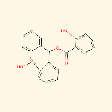 O=C(OC(c1ccccc1)c1ccccc1C(=O)O)c1ccccc1O